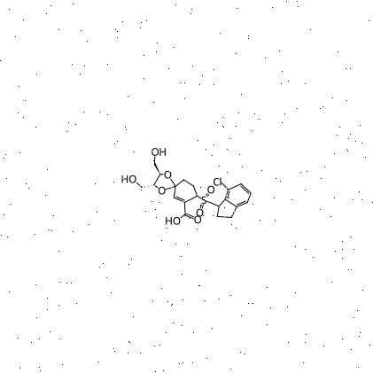 O=C(O)C1=CC2(CCC1S(=O)(=O)C1CCc3cccc(Cl)c31)O[C@H](CO)[C@@H](CO)O2